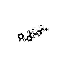 Cc1ccccc1Oc1ccc2nc(N3CC(C(=O)O)C=N3)[nH]c(=O)c2c1